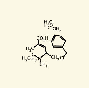 CC(=CC(C)N(C)C)C(=O)O.ClCc1ccccc1.O.O.O.O